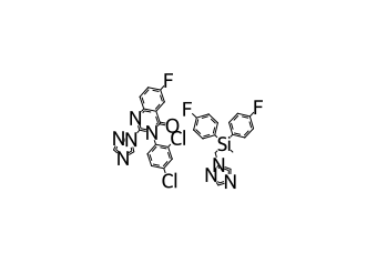 C[Si](Cn1cncn1)(c1ccc(F)cc1)c1ccc(F)cc1.O=c1c2cc(F)ccc2nc(-n2cncn2)n1-c1ccc(Cl)cc1Cl